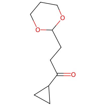 O=C(CCC1OCCCO1)C1CC1